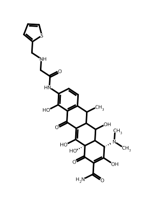 CC1c2ccc(NC(=O)CNCc3cccs3)c(O)c2C(=O)C2=C(O)[C@]3(O)C(=O)C(C(N)=O)=C(O)[C@@H](N(C)C)C3C(O)C21